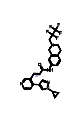 O=C(/C=C/c1cnccc1-c1cnn(C2CC2)c1)Nc1ccc2c(c1)CN(CC(F)(F)C(F)(F)F)CC2